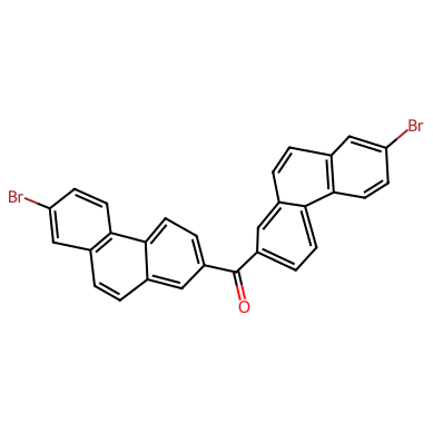 O=C(c1ccc2c(ccc3cc(Br)ccc32)c1)c1ccc2c(ccc3cc(Br)ccc32)c1